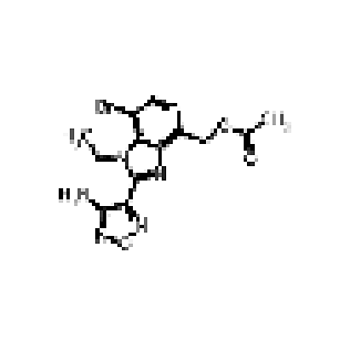 CCn1c(-c2nonc2N)nc2c(COC(C)=O)ncc(Br)c21